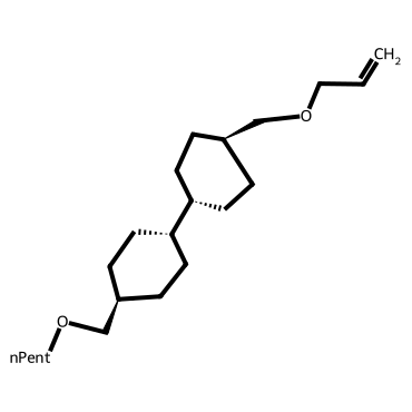 C=CCOC[C@H]1CC[C@H]([C@H]2CC[C@H](COCCCCC)CC2)CC1